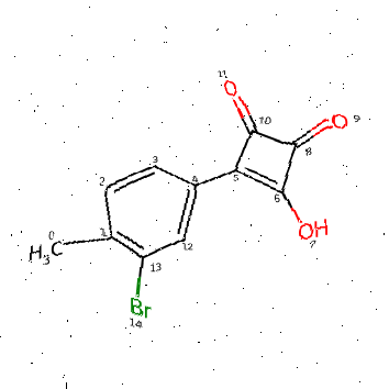 Cc1ccc(-c2c(O)c(=O)c2=O)cc1Br